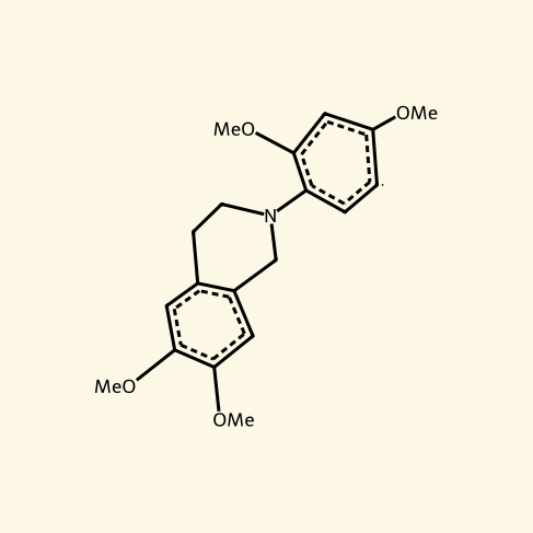 COc1[c]cc(N2CCc3cc(OC)c(OC)cc3C2)c(OC)c1